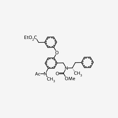 CCOC(=O)Cc1cccc(Oc2ccc(N(C)C(C)=O)cc2CN(C(=O)OC)[C@@H](C)Cc2ccccc2)c1